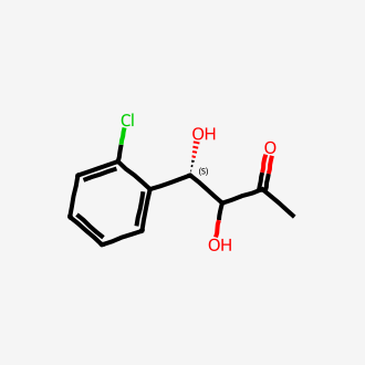 CC(=O)C(O)[C@@H](O)c1ccccc1Cl